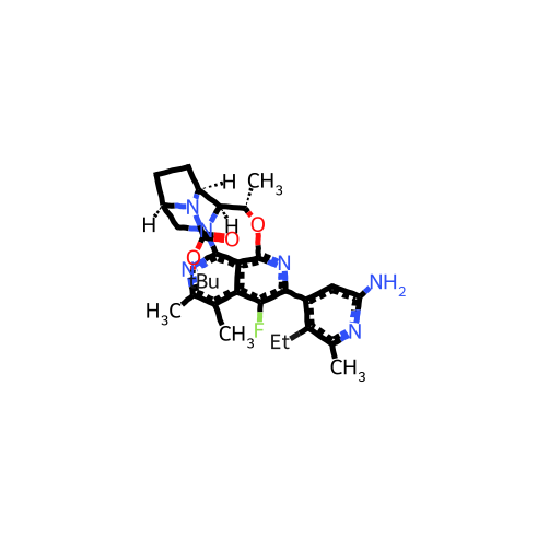 CCc1c(-c2nc3c4c(nc(C)c(C)c4c2F)N2C[C@H]4CC[C@@H]([C@H]2[C@H](C)O3)N4C(=O)OC(C)(C)C)cc(N)nc1C